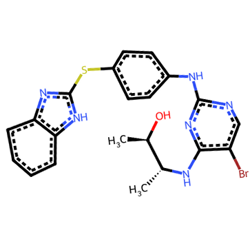 C[C@@H](O)[C@@H](C)Nc1nc(Nc2ccc(Sc3nc4ccccc4[nH]3)cc2)ncc1Br